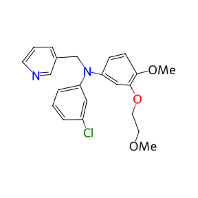 COCCOc1cc(N(Cc2cccnc2)c2cccc(Cl)c2)ccc1OC